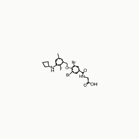 Cc1cc(COc2c(Br)cc(C(=O)NCC(=O)O)cc2Br)c(F)c(NC2CCC2)c1